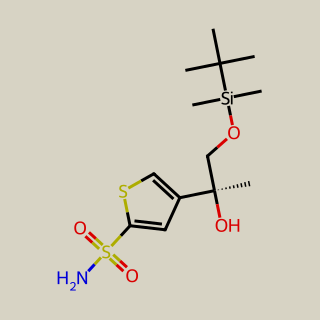 CC(C)(C)[Si](C)(C)OC[C@@](C)(O)c1csc(S(N)(=O)=O)c1